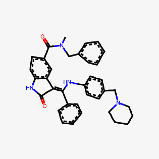 CN(Cc1ccccc1)C(=O)c1ccc2c(c1)C(=C(Nc1ccc(CN3CCCCC3)cc1)c1ccccc1)C(=O)N2